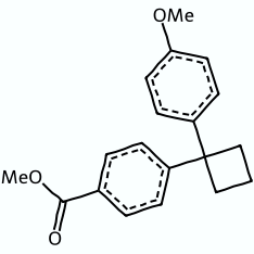 COC(=O)c1ccc(C2(c3ccc(OC)cc3)CCC2)cc1